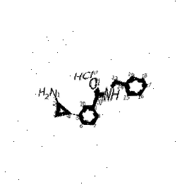 Cl.N[C@@H]1C[C@H]1c1cccc(C(=O)NCc2ccccc2)c1